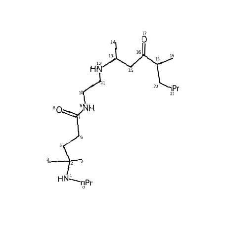 CCCNC(C)(C)CCC(=O)NCCNC(C)CC(=O)C(C)CC(C)C